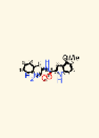 COc1cccc2[nH]c(C(=O)N[C@@H](CC3CCCCC3)C(N)=O)cc12